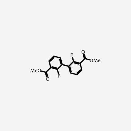 COC(=O)c1cccc(-c2cccc(C(=O)OC)c2F)c1F